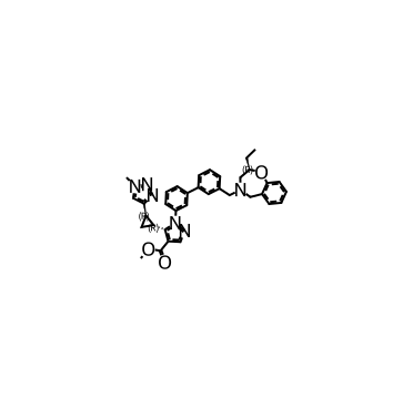 CC[C@@H]1CN(Cc2cccc(-c3cccc(-n4ncc(C(=O)OC)c4[C@@H]4C[C@H]4c4cn(C)nn4)c3)c2)Cc2ccccc2O1